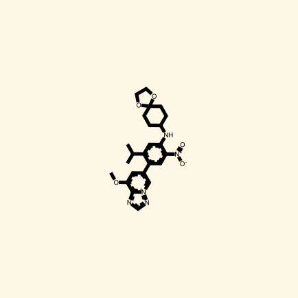 COc1cc(-c2cc([N+](=O)[O-])c(NC3CCC4(CC3)OCCO4)cc2C(C)C)cn2ncnc12